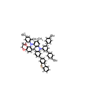 Cc1cc2c3c(c1)N(c1c(C)cc(C(C)(C)C)cc1C)c1c(ccc4c1OCCO4)B3c1ccc(-c3ccc4c(c3)sc3ccccc34)cc1N2c1cc(-c2ccc(C(C)(C)C)cc2)cc(-c2ccc(C(C)(C)C)cc2)c1